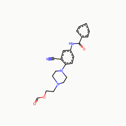 N#Cc1cc(NC(=O)c2ccccc2)ccc1N1CCN(CCOC=O)CC1